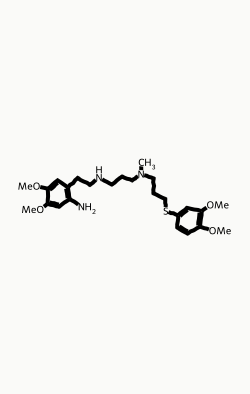 COc1ccc(SCCCN(C)CCCNCCc2cc(OC)c(OC)cc2N)cc1OC